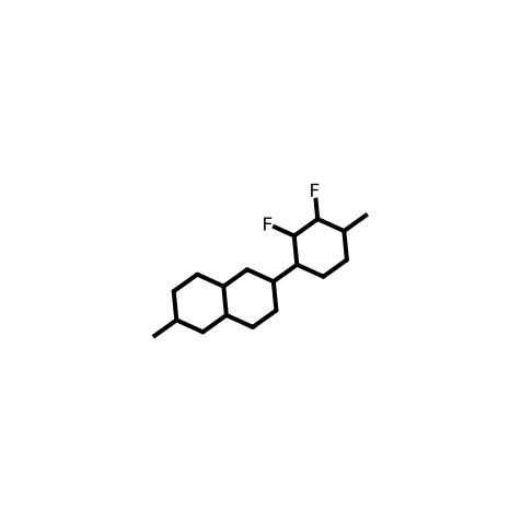 CC1CCC2CC(C3CCC(C)C(F)C3F)CCC2C1